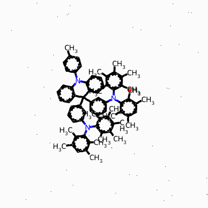 Cc1ccc(N2c3ccccc3C(c3cccc(N(c4c(C)c(C)cc(C)c4C)c4c(C)c(C)c(C)c(C)c4C)c3)(c3cccc(N(c4c(C)c(C)cc(C)c4C)c4c(C)c(C)c(C)c(C)c4C)c3)c3ccccc32)cc1